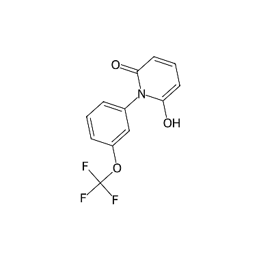 O=c1cccc(O)n1-c1cccc(OC(F)(F)F)c1